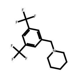 FC(F)(F)c1cc(CN2CCCCC2)cc(C(F)(F)F)c1